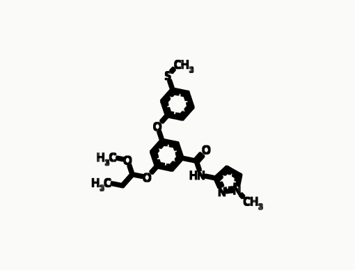 CCC(OC)Oc1cc(Oc2cccc(SC)c2)cc(C(=O)Nc2ccn(C)n2)c1